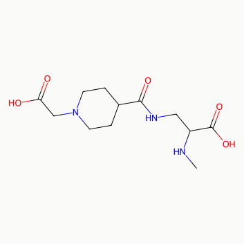 CNC(CNC(=O)C1CCN(CC(=O)O)CC1)C(=O)O